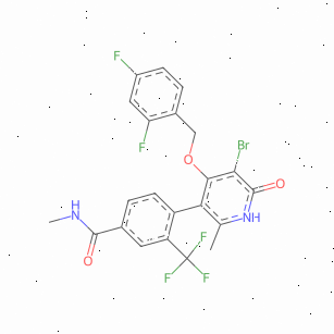 CNC(=O)c1ccc(-c2c(C)[nH]c(=O)c(Br)c2OCc2ccc(F)cc2F)c(C(F)(F)F)c1